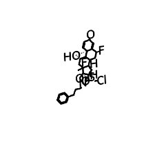 CC12C[C@H](O)[C@@]3(F)[C@@H](C[C@H](F)C4=CC(=O)C=C[C@@]43C)C1C[C@H]1CN(CCCc3ccccc3)O[C@]12C(=O)SCCl